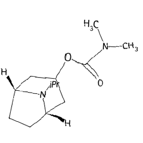 CC(C)N1[C@@H]2CC[C@H]1CC(OC(=O)N(C)C)C2